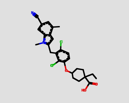 CCC1(C(=O)O)CCC(Oc2ccc(Cl)c(Cc3cc4c(C)cc(C#N)cc4n3C)c2Cl)CC1